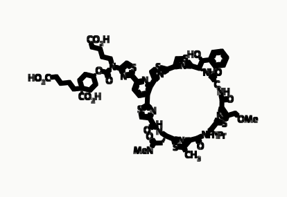 CNC(=O)C[C@@H]1NC(=O)c2csc(n2)-c2ccc(-c3nc(N(CCCCC(=O)O)C(=O)O[C@H]4CC[C@@](CCCCC(=O)O)(C(=O)O)CC4)cs3)nc2-c2csc(n2)-c2csc(n2)[C@H]([C@@H](O)c2ccccc2)NC(=O)CNC(=O)c2nc(sc2COC)[C@H](C(C)C)NC(=O)c2nc1sc2C